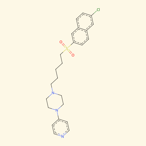 O=S(=O)(CCCCCN1CCN(c2ccncc2)CC1)c1ccc2cc(Cl)ccc2c1